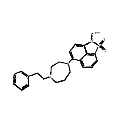 CCCCCN1c2ccc(N3CCCN(CCc4ccccc4)CC3)c3cccc(c23)S1(=O)=O